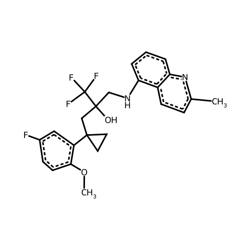 COc1ccc(F)cc1C1(CC(O)(CNc2cccc3nc(C)ccc23)C(F)(F)F)CC1